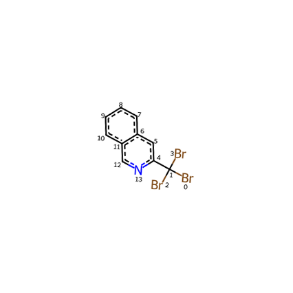 BrC(Br)(Br)c1cc2ccccc2cn1